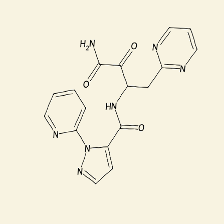 NC(=O)C(=O)C(Cc1ncccn1)NC(=O)c1ccnn1-c1ccccn1